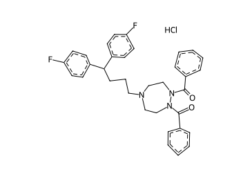 Cl.O=C(c1ccccc1)N1CCN(CCCC(c2ccc(F)cc2)c2ccc(F)cc2)CCN1C(=O)c1ccccc1